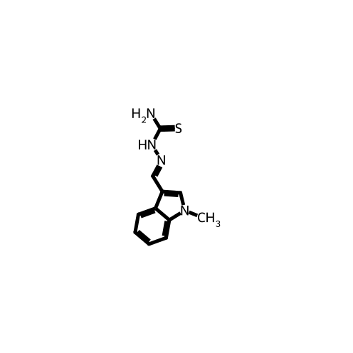 Cn1cc(/C=N/NC(N)=S)c2ccccc21